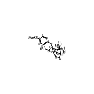 COc1ccc(CN(CC(C)(C)C)[C@@H]2CC3C[C@H]([C@H]2C)C3(C)C)cc1